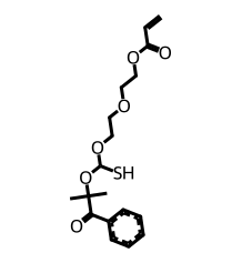 C=CC(=O)OCCOCCOC(S)OC(C)(C)C(=O)c1ccccc1